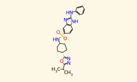 CC(C)c1nnc([C@H]2CC[C@H](NS(=O)(=O)c3ccc4[nH]c(Nc5ccccc5)nc4c3)CC2)o1